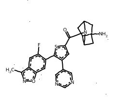 Cc1noc2cc(-c3sc(C(=O)N4C5CC6C4CC6(N)C5)cc3-c3cncnc3)c(F)cc12